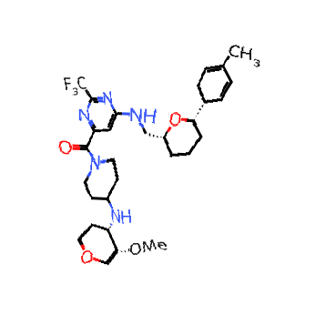 CO[C@@H]1COCC[C@@H]1NC1CCN(C(=O)c2cc(NC[C@H]3CCC[C@@H](C4C=CC(C)=CC4)O3)nc(C(F)(F)F)n2)CC1